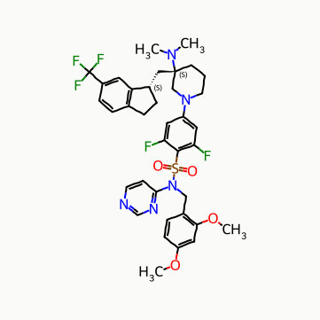 COc1ccc(CN(c2ccncn2)S(=O)(=O)c2c(F)cc(N3CCC[C@@](C[C@@H]4CCc5ccc(C(F)(F)F)cc54)(N(C)C)C3)cc2F)c(OC)c1